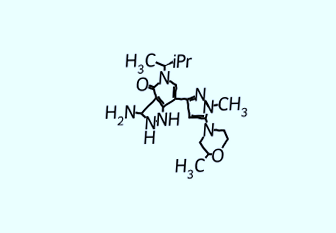 CC1CN(c2cc(-c3cn([C@@H](C)C(C)C)c(=O)c4c3NNC4N)nn2C)CCO1